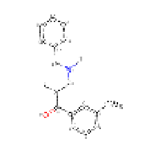 COc1cccc(C(=O)C(C)CN(C)Cc2ccccc2)c1